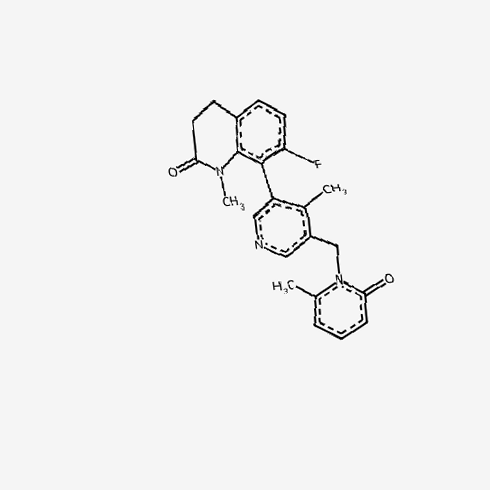 Cc1c(Cn2c(C)cccc2=O)cncc1-c1c(F)ccc2c1N(C)C(=O)CC2